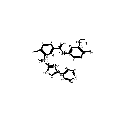 Cc1ccc(C(=O)Nc2ccc(C)c(C(F)(F)F)c2)cc1Nc1nc(-c2ccncc2)cs1